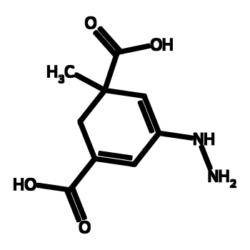 CC1(C(=O)O)C=C(NN)C=C(C(=O)O)C1